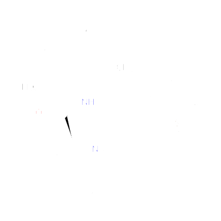 Cc1cccc(C)c1NC(=O)[C@@H]1CCCCN1CCc1cccs1